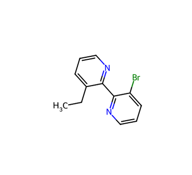 CCc1cccnc1-c1ncccc1Br